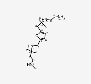 CNCCC(C)(C)NCc1ccc(CC(C)(C)NCCN)o1